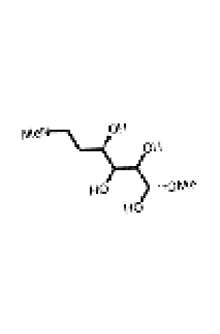 CNCC[C@@H](O)C(O)C(O)[C@@H](O)OC